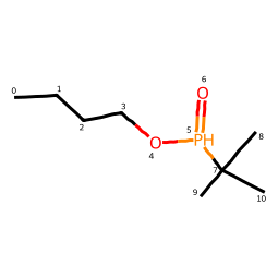 CCCCO[PH](=O)C(C)(C)C